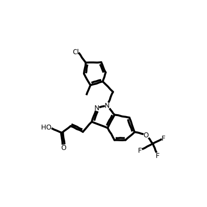 Cc1cc(Cl)ccc1Cn1nc(C=CC(=O)O)c2ccc(OC(F)(F)F)cc21